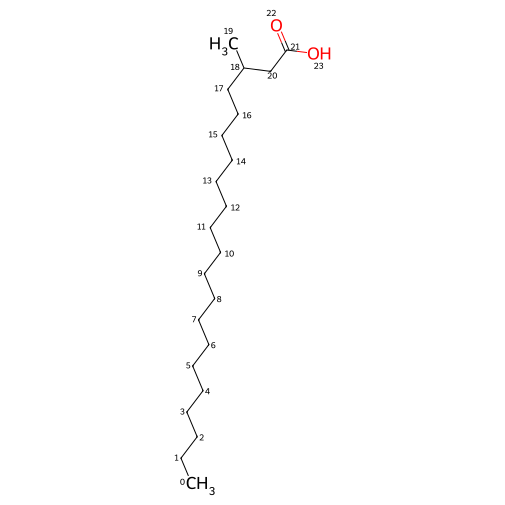 CCCCCCCCCCCCCCCCCCC(C)CC(=O)O